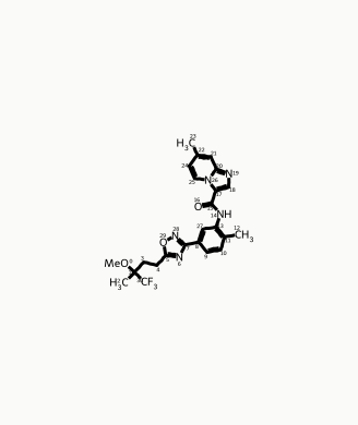 COC(C)(CCc1nc(-c2ccc(C)c(NC(=O)c3cnc4cc(C)ccn34)c2)no1)C(F)(F)F